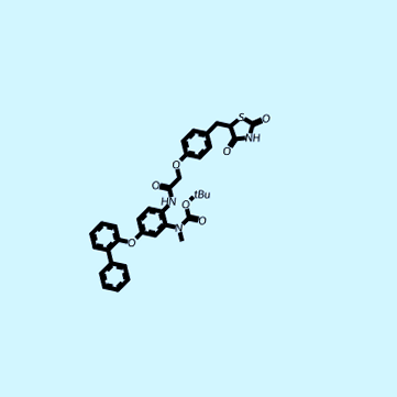 CN(C(=O)OC(C)(C)C)c1cc(Oc2ccccc2-c2ccccc2)ccc1NC(=O)COc1ccc(CC2SC(=O)NC2=O)cc1